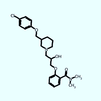 CN(C)C(=O)c1ccccc1OCC(O)CN1CCCC(COc2ccc(Cl)cc2)C1